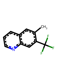 Cc1cc2cccnc2cc1C(F)(F)F